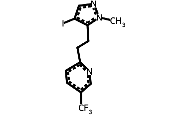 Cn1ncc(I)c1CCc1ccc(C(F)(F)F)cn1